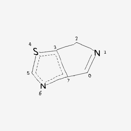 C1=NCc2scnc21